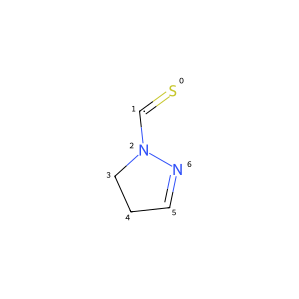 S=[C]N1CCC=N1